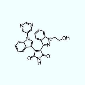 O=C1NC(=O)C(c2nn(CCO)c3ccccc23)=C1c1cn(-c2cncnc2)c2ccccc12